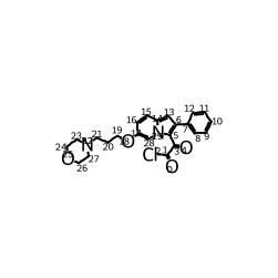 O=C(Cl)C(=O)c1c(-c2ccccc2)cc2ccc(OCCCN3CCOCC3)cn12